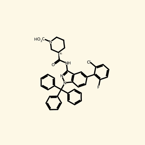 O=C(Nc1nn(C(c2ccccc2)(c2ccccc2)c2ccccc2)c2ccc(-c3c(F)cccc3Cl)cc12)[C@@H]1CCCN(C(=O)O)C1